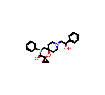 O=C1N(c2ccccc2)CC2(CCN(CC(O)c3ccccc3)CC2)OC12CC2